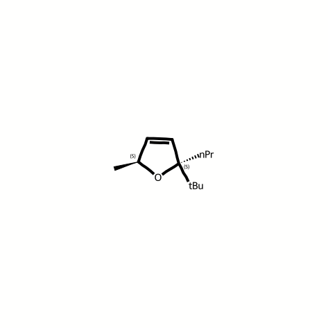 CCC[C@@]1(C(C)(C)C)C=C[C@H](C)O1